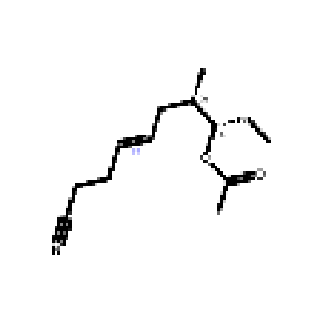 CC[C@H](OC(C)=O)[C@H](C)C/C=C/CCC#N